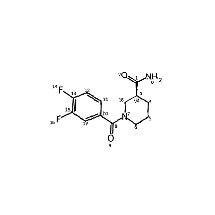 NC(=O)[C@H]1CCCN(C(=O)c2ccc(F)c(F)c2)C1